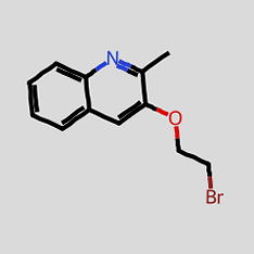 Cc1nc2ccccc2cc1OCCBr